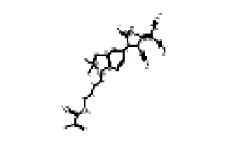 C=C(C)C(=O)OCCCCN1c2ccc(C3C(=O)NC(=C(C#N)C#N)C3C#N)cc2CC1(C)C